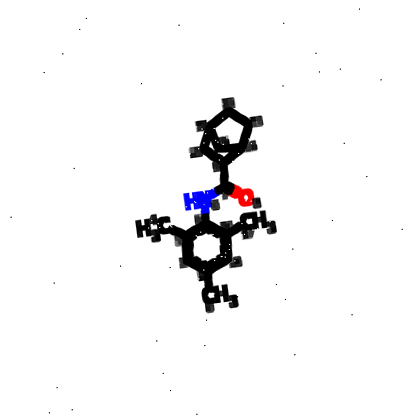 Cc1cc(C)c(NC(=O)C2CC3CCC2C3)c(C)c1